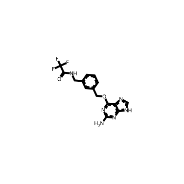 Nc1nc(OCc2cccc(CNC(=O)C(F)(F)F)c2)c2nc[nH]c2n1